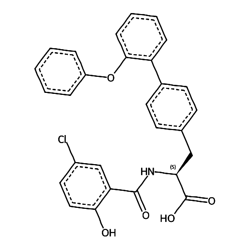 O=C(N[C@@H](Cc1ccc(-c2ccccc2Oc2ccccc2)cc1)C(=O)O)c1cc(Cl)ccc1O